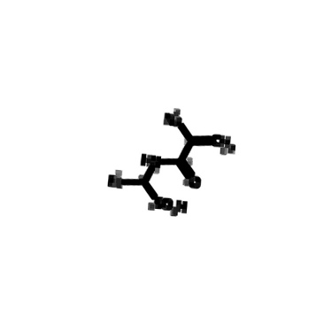 C=[C]([Na])C(=O)NC(CC)S(=O)(=O)O